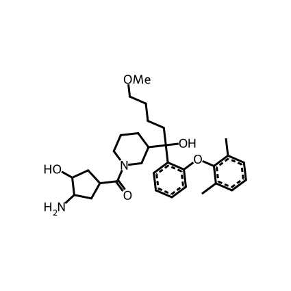 COCCCCC(O)(c1ccccc1Oc1c(C)cccc1C)C1CCCN(C(=O)C2CC(N)C(O)C2)C1